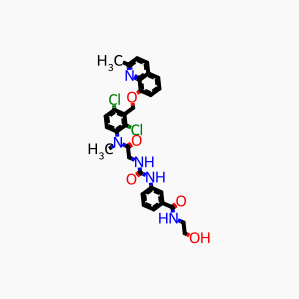 Cc1ccc2cccc(OCc3c(Cl)ccc(N(C)C(=O)CNC(=O)Nc4cccc(C(=O)NCCO)c4)c3Cl)c2n1